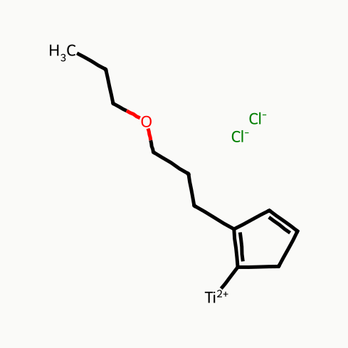 CCCOCCCC1=[C]([Ti+2])CC=C1.[Cl-].[Cl-]